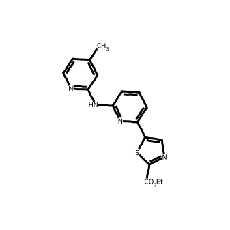 CCOC(=O)c1ncc(-c2cccc(Nc3cc(C)ccn3)n2)s1